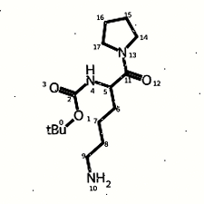 CC(C)(C)OC(=O)NC(CCCCN)C(=O)N1CCCC1